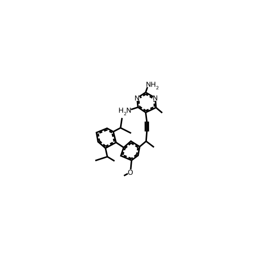 COc1cc(-c2c(C(C)C)cccc2C(C)C)cc(C(C)C#Cc2c(C)nc(N)nc2N)c1